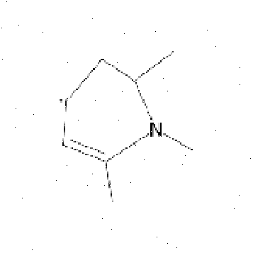 CC1=C[CH]CC(C)N1C